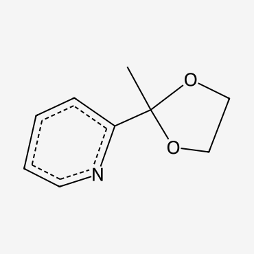 CC1(c2ccccn2)OCCO1